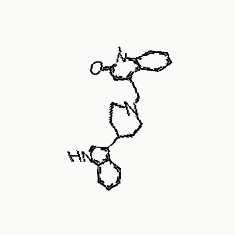 Cn1c(=O)cc(CN2CCC(c3c[nH]c4ccccc34)CC2)c2ccccc21